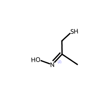 C/C(CS)=N/O